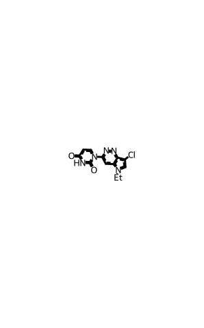 CCn1cc(Cl)c2nnc(-n3ccc(=O)[nH]c3=O)cc21